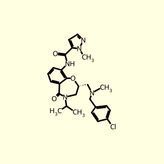 CC(C)N1C[C@@H](CN(C)Cc2ccc(Cl)cc2)Oc2c(NC(=O)c3ccnn3C)cccc2C1=O